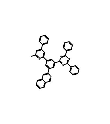 Cc1cc(-c2ccccc2)cc(-c2cc(-c3cc4ccccc4cn3)cc(-c3nc(-c4ccccc4)nc(-c4ccccc4)n3)c2)n1